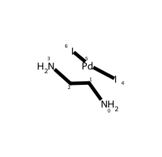 NCCN.[I][Pd][I]